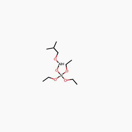 CCO[Si](OCC)(OCC)[O][AlH][O]CC(C)C